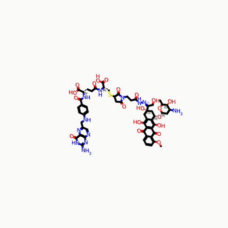 COc1cccc2c1C(=O)c1c(O)c3c(c(O)c1C2=O)C[C@@](O)(/C(CO)=N\NC(=O)CCN1C(=O)CC(SC[C@H](NC(=O)CC[C@H](NC(=O)c2ccc(NCc4cnc5nc(N)[nH]c(=O)c5n4)cc2)C(=O)O)C(=O)O)C1=O)C[C@@H]3O[C@H]1CC(N)[C@H](O)C(C)O1